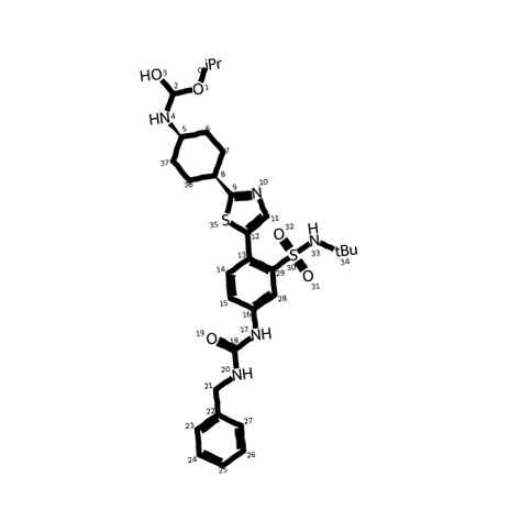 CC(C)OC(O)N[C@H]1CC[C@@H](c2ncc(-c3ccc(NC(=O)NCc4ccccc4)cc3S(=O)(=O)NC(C)(C)C)s2)CC1